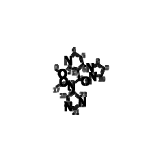 COc1nccc(-n2cccn2)c1C(=O)N(OC)c1cncnc1